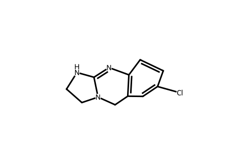 Clc1ccc2c(c1)CN1CCNC1=N2